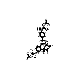 C=CC(=O)N=S(=O)(c1cc(NC(=O)OC(C)C)ccc1-c1cnc(C2CCC(NC(=O)OC(C)C)CC2)s1)C(C)C